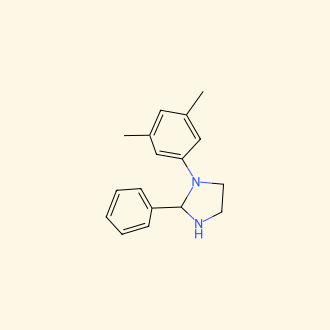 Cc1cc(C)cc(N2CCNC2c2ccccc2)c1